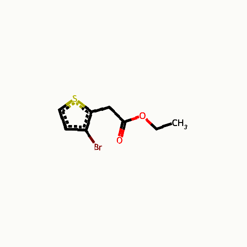 CCOC(=O)Cc1sccc1Br